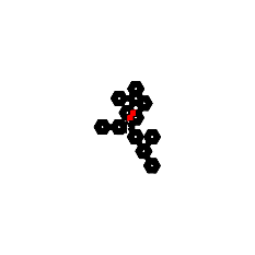 c1ccc(-c2ccc(N(c3ccc(-c4ccc(-c5ccccc5)cc4-c4ccccc4)cc3)c3ccc(-c4cccc5c4c(-c4ccccc4)c(-c4ccccc4)c4ccccc45)cc3)cc2)cc1